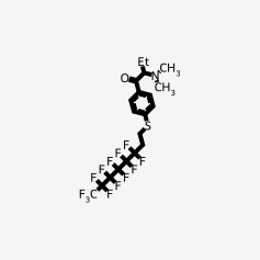 CCC(C(=O)c1ccc(SCCC(F)(F)C(F)(F)C(F)(F)C(F)(F)C(F)(F)C(F)(F)F)cc1)N(C)C